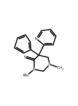 CN1CN(C(C)(C)C)C(=S)C(c2ccccc2)(c2ccccn2)C1